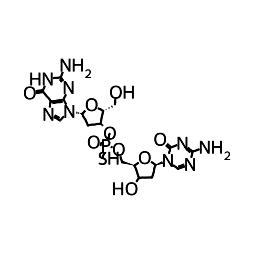 Nc1ncn([C@H]2CC(O)[C@@H](COP(=O)(S)O[C@@H]3C[C@H](n4cnc5c(=O)[nH]c(N)nc54)O[C@@H]3CO)O2)c(=O)n1